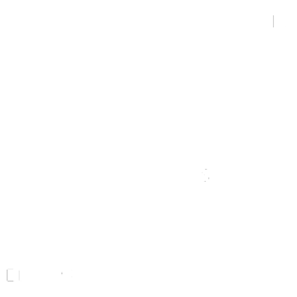 CCOc1ccc2c(sc3c(C)c(CC)ccc32)c1C